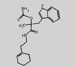 CC(Cc1c[nH]c2ccccc12)(OC(N)=O)C(=O)NCCC1=CCCCC1